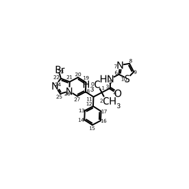 CC(C)(C(=O)Nc1nccs1)C(c1ccccc1)c1ccc2c(Br)ncn2c1